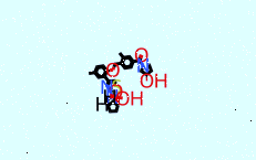 Cc1ccc(OCc2ccc(C(=O)N3CC[C@@H](O)C3)cc2C)c(-c2csc(N3CC4CC[C@@H](C3)[C@H]4C(=O)O)n2)c1